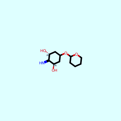 N=C1[C@H](O)CC(OC2CCCCO2)C[C@H]1O